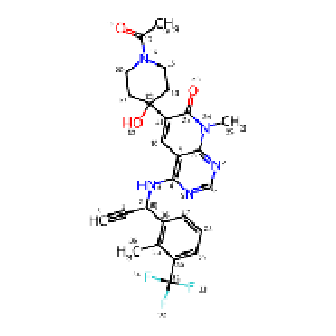 C#C[C@@H](Nc1ncnc2c1cc(C1(O)CCN(C(C)=O)CC1)c(=O)n2C)c1cccc(C(F)(F)F)c1C